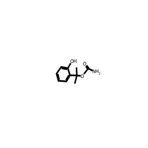 CC(C)(OC(N)=O)c1ccccc1O